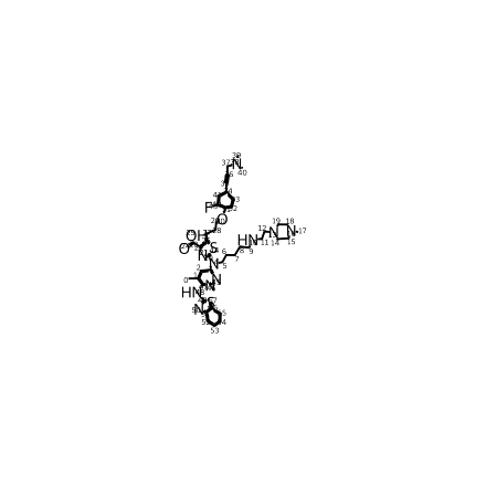 Cc1cc(N(CCCCCNCCN2CCN(C)CC2)c2nc(C(=O)O)c(CCCOc3ccc(C#CCN(C)C)cc3F)s2)nnc1Nc1nc2ccccc2s1